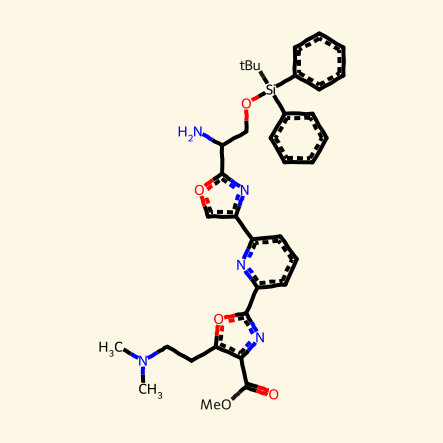 COC(=O)c1nc(-c2cccc(-c3coc(C(N)CO[Si](c4ccccc4)(c4ccccc4)C(C)(C)C)n3)n2)oc1CCN(C)C